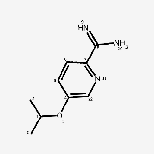 CC(C)Oc1ccc(C(=N)N)nc1